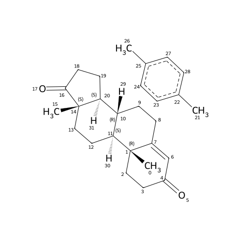 C[C@]12CCC(=O)C=C1CC[C@@H]1[C@@H]2CC[C@]2(C)C(=O)CC[C@@H]12.Cc1ccc(C)cc1